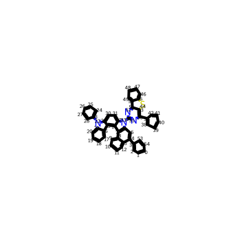 c1ccc(-c2cc3c(c4ccccc24)c2c4c5ccccc5n(-c5ccccc5)c4ccc2n3-c2nc(-c3ccccc3)c3sc4ccccc4c3n2)cc1